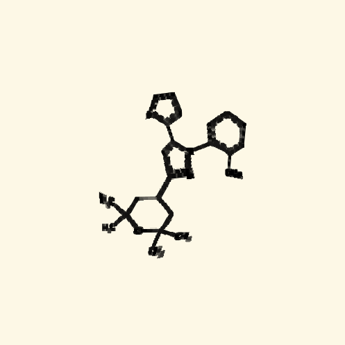 COc1ccccc1-n1nc(C2CC(C)(C)OC(C)(C)C2)cc1-c1cccs1